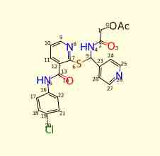 CC(=O)OCC(=O)NC(Sc1ncccc1C(=O)Nc1ccc(Cl)cc1)c1ccncc1